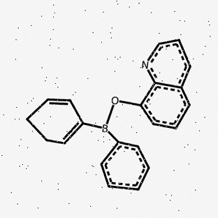 C1=CC(B(Oc2cccc3cccnc23)c2ccccc2)=CCC1